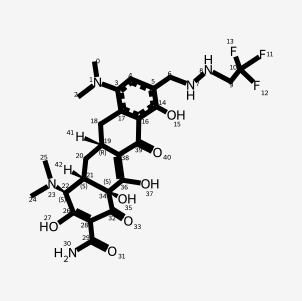 CN(C)c1cc(CNNCC(F)(F)F)c(O)c2c1C[C@H]1C[C@H]3[C@H](N(C)C)C(O)=C(C(N)=O)C(=O)[C@@]3(O)C(O)=C1C2=O